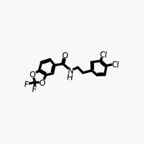 O=C(NCCc1ccc(Cl)c(Cl)c1)c1ccc2c(c1)OC(F)(F)O2